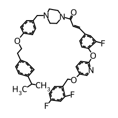 CC(C)c1ccc(CCOc2ccc(CN3CCN(C(=O)/C=C/c4ccc(Oc5ccc(OCc6ccc(F)cc6F)cn5)c(F)c4)CC3)cc2)cc1